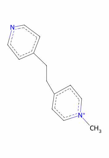 C[n+]1ccc(CCc2ccncc2)cc1